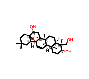 CC1(C)CC[C@]23CO[C@@]4(C=C[C@@H]5[C@@]6(C)CC[C@H](O)[C@@](C)(CO)[C@@H]6CC[C@@]5(C)[C@]4(C)C[C@H]2O)[C@@H]3C1